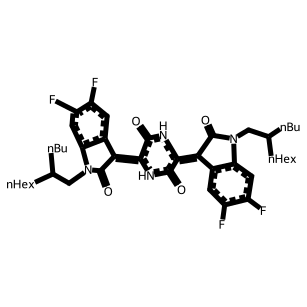 CCCCCCC(CCCC)CN1C(=O)/C(=c2\[nH]c(=O)/c(=C3/C(=O)N(CC(CCCC)CCCCCC)c4cc(F)c(F)cc43)[nH]c2=O)c2cc(F)c(F)cc21